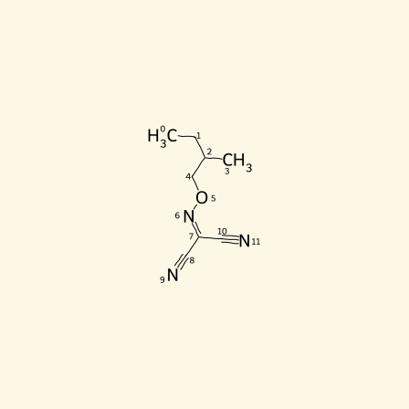 CCC(C)CON=C(C#N)C#N